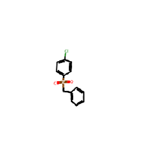 O=S(=O)(Cc1c[c]ccc1)c1ccc(Cl)cc1